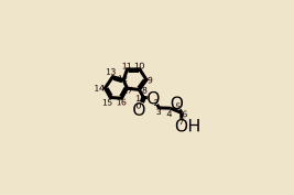 O=C(OCC1OC1O)c1cccc2ccccc12